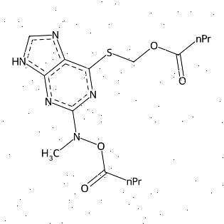 CCCC(=O)OCSc1nc(N(C)OC(=O)CCC)nc2[nH]cnc12